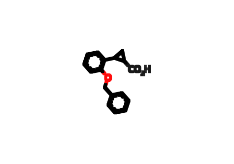 O=C(O)C1CC1c1ccccc1OCc1ccccc1